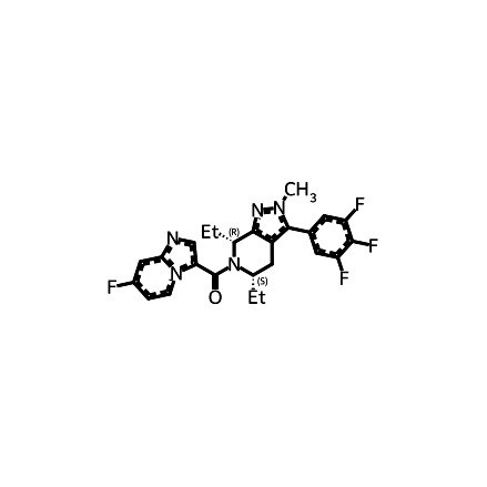 CC[C@H]1Cc2c(nn(C)c2-c2cc(F)c(F)c(F)c2)[C@@H](CC)N1C(=O)c1cnc2cc(F)ccn12